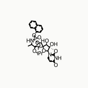 CC(C)OC(=O)C(C)NP(=O)(OC[C@@]1(F)OC(n2ccc(=O)[nH]c2=O)[C@](C)(O)[C@@H]1O)Oc1cccc2ccccc12